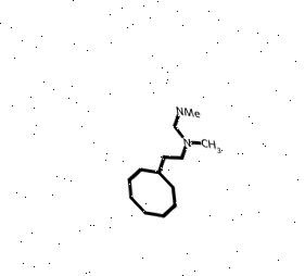 CNCN(C)CCC1CCCCCCC1